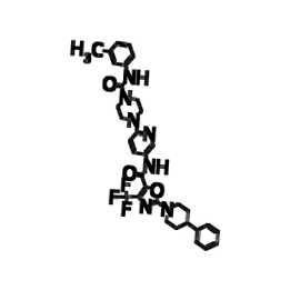 Cc1cccc(NC(=O)N2CCN(c3ccc(NC(=O)c4oc(N5CCC(c6ccccc6)CC5)nc4C(F)(F)F)cn3)CC2)c1